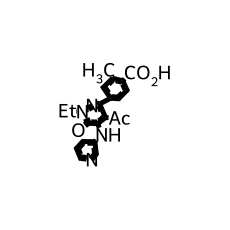 CCn1nc(-c2ccc(C(=O)O)c(C)c2)c(C(C)=O)c(Nc2cccnc2)c1=O